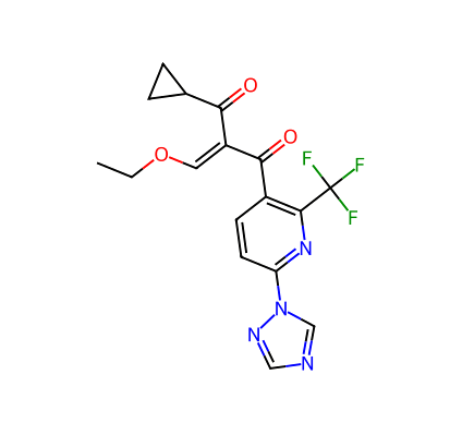 CCOC=C(C(=O)c1ccc(-n2cncn2)nc1C(F)(F)F)C(=O)C1CC1